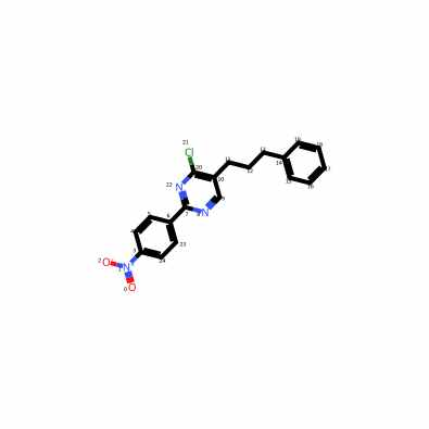 O=[N+]([O-])c1ccc(-c2ncc(CCCc3ccccc3)c(Cl)n2)cc1